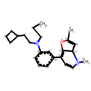 CCCN(CCC1CCC1)c1cccc(C2=C3OC(C)=CC3N(C)C=C2)c1